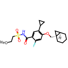 COCCS(=O)(=O)NC(=O)c1cc(C2CC2)c(OC[C@@]23CCCC[C@@H]2C3)cc1F